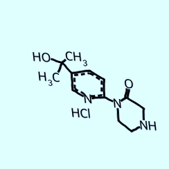 CC(C)(O)c1ccc(N2CCNCC2=O)nc1.Cl